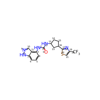 O=C(Nc1cccc2[nH]ncc12)NC1CCC(c2nc(C(F)(F)F)cs2)C1